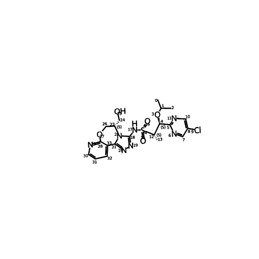 CC(C)O[C@@H](c1ncc(Cl)cn1)[C@H](C)S(=O)(=O)Nc1nnc2n1[C@@H](CO)COc1ncccc1-2